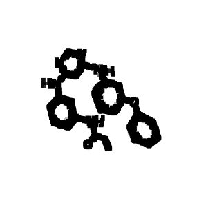 C=CC(=O)Nc1cccc(Nc2cc(Nc3cccc(Oc4ccccc4)c3)ncn2)c1